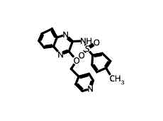 Cc1ccc(S(=O)(=O)Nc2nc3ccccc3nc2OCc2ccncc2)cc1